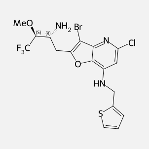 CO[C@@H]([C@H](N)Cc1oc2c(NCc3cccs3)cc(Cl)nc2c1Br)C(F)(F)F